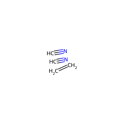 C#N.C#N.C=C